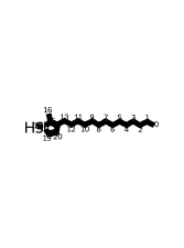 CCCCCCCCCCCCCCC1=C(C)[SiH](C)C=C1